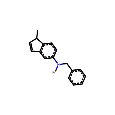 CCCN(Cc1ccccc1)c1ccc2c(c1)C=CC2C